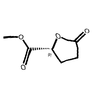 COC(=O)[C@H]1CCC(=O)O1